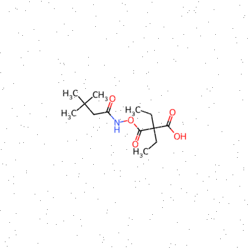 CCC(CC)(C(=O)O)C(=O)ONC(=O)CC(C)(C)C